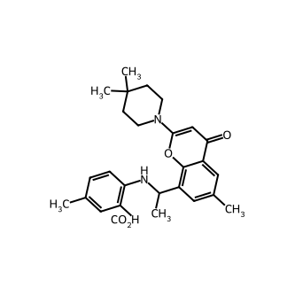 Cc1ccc(NC(C)c2cc(C)cc3c(=O)cc(N4CCC(C)(C)CC4)oc23)c(C(=O)O)c1